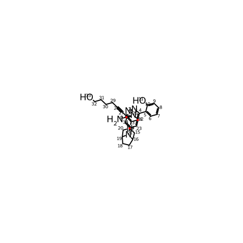 Nc1nnc(-c2ccccc2O)cc1N1CC2CCC(C1)N2c1ccnc(C#CCCCCO)c1